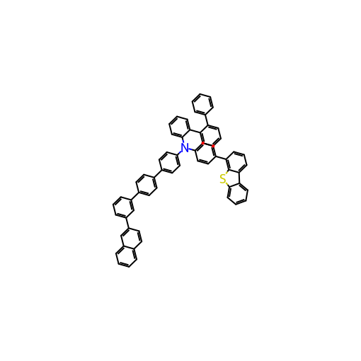 c1ccc(-c2ccccc2-c2ccccc2N(c2ccc(-c3ccc(-c4cccc(-c5ccc6ccccc6c5)c4)cc3)cc2)c2ccc(-c3cccc4c3sc3ccccc34)cc2)cc1